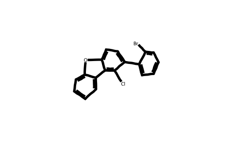 Clc1c(-c2ccccc2Br)ccc2oc3ccccc3c12